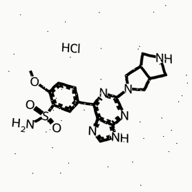 COc1ccc(-c2nc(N3CC4CNCC4C3)nc3[nH]cnc23)cc1S(N)(=O)=O.Cl